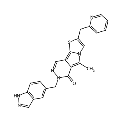 Cc1c2c(=O)n(Cc3ccc4[nH]ncc4c3)ncc2c2sc(Cc3ccccn3)cn12